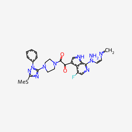 C=N/C=C\N(N)c1ncc(F)c2c(C(=O)C(=O)N3CCN(c4nc(SC)nn4-c4ccccc4)CC3)c[nH]c12